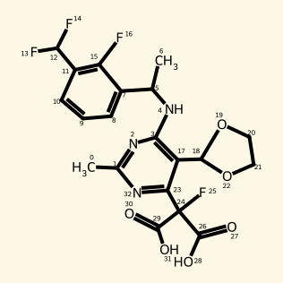 Cc1nc(NC(C)c2cccc(C(F)F)c2F)c(C2OCCO2)c(C(F)(C(=O)O)C(=O)O)n1